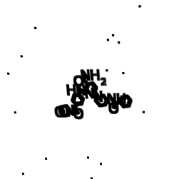 NC(=O)c1ccc(N2CCCC(NC(=O)c3ccccc3)C2)nc1Nc1ccc(C(=O)N2CCOCC2)cc1